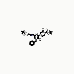 CC(C)(C)OC(=O)N1CCN(c2nc(/C=C/CO[Si](C)(C)C(C)(C)C)cn(Cc3ccccc3)c2=O)CC1=O